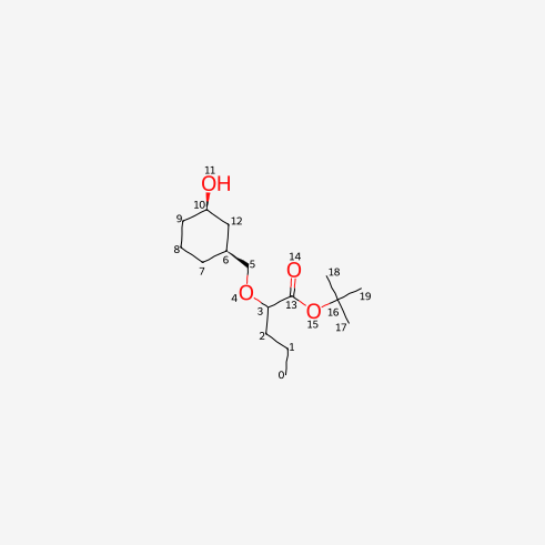 CCCC(OC[C@H]1CCC[C@@H](O)C1)C(=O)OC(C)(C)C